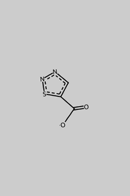 [O]C(=O)c1cnns1